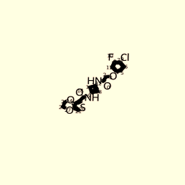 O=C(COc1ccc(Cl)c(F)c1)NC12CC(NC(=O)c3scc4c3OCCO4)(C1)C2